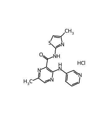 Cc1csc(NC(=O)c2nc(C)cnc2Nc2cccnc2)n1.Cl